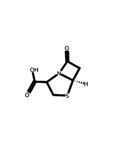 O=C(O)C1CS[C@@H]2CC(=O)N12